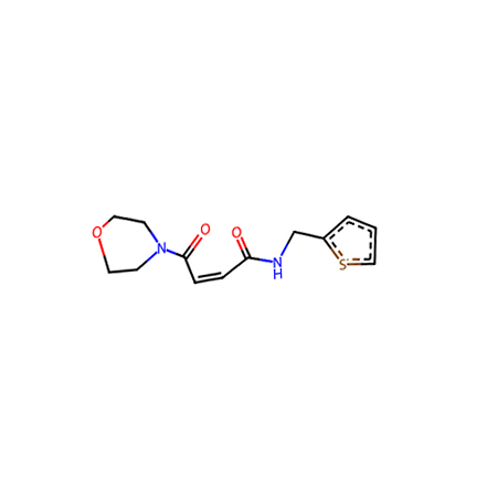 O=C(/C=C\C(=O)N1CCOCC1)NCc1cccs1